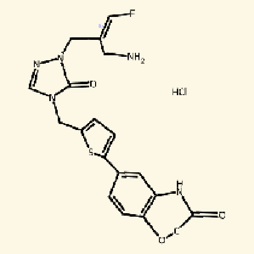 Cl.NC/C(=C\F)Cn1ncn(Cc2ccc(-c3ccc4c(c3)NC(=O)CO4)s2)c1=O